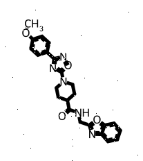 COc1ccc(-c2noc(N3CCC(C(=O)NCc4nc5ccccc5o4)CC3)n2)cc1